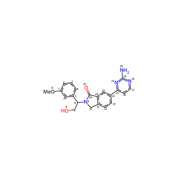 COc1cccc(C(CO)N2Cc3ccc(-c4ccnc(N)n4)cc3C2=O)c1